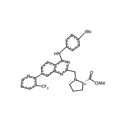 COC(=O)[C@@H]1CCCN1Cc1nc(Nc2ccc(C(C)(C)C)cc2)c2ccc(-c3ncccc3C(F)(F)F)cc2n1